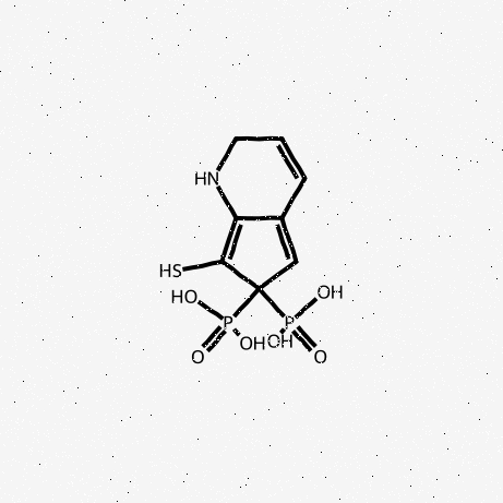 O=P(O)(O)C1(P(=O)(O)O)C=C2C=CCNC2=C1S